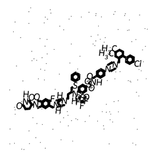 CC1(C)CCC(c2ccc(Cl)cc2)=C(CN2CCN(c3ccc(C(=O)NS(=O)(=O)c4ccc(NC(CCN5C[C@@H]6C[C@H]5CN6Cc5cc6c(cc5F)C(=O)N(C5CCC(=O)NC5=O)C6)CSc5ccccc5)c(S(=O)(=O)C(F)(F)F)c4)cc3)CC2)C1